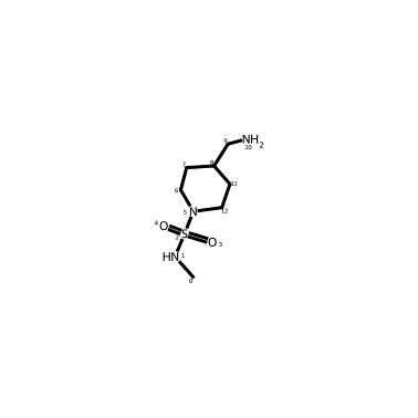 CNS(=O)(=O)N1CCC(CN)CC1